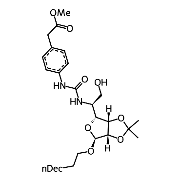 CCCCCCCCCCCCO[C@H]1O[C@H]([C@H](CO)NC(=O)Nc2ccc(CC(=O)OC)cc2)[C@@H]2OC(C)(C)O[C@H]12